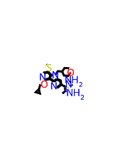 CSc1cnc(OCC2CC2)c2c3ncc(/C(=C(\C)N)N(C)N)cc3n(CC3CCOCC3)c12